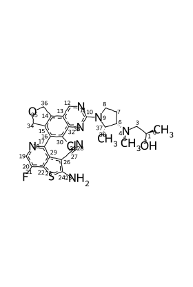 C[C@@H](O)CN(C)[C@H]1CCN(c2ncc3c4c(c(-c5ncc(F)c6sc(N)c(C#N)c56)c(Cl)c3n2)COC4)[C@H]1C